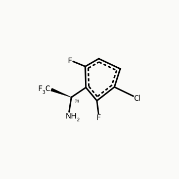 N[C@H](c1c(F)ccc(Cl)c1F)C(F)(F)F